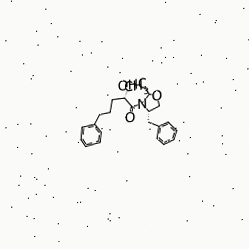 C[C@@H](CCCc1ccccc1)C(=O)N1C(C=O)OC[C@@H]1Cc1ccccc1